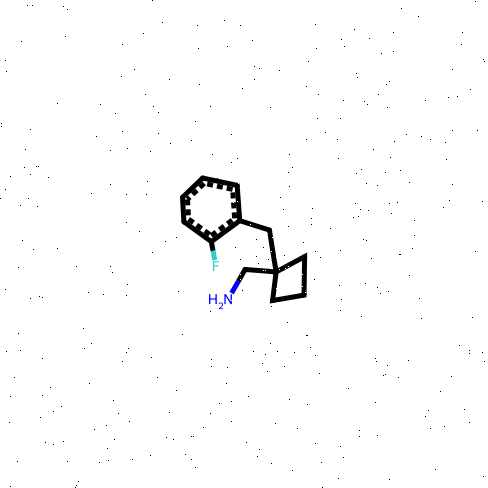 NCC1(Cc2ccccc2F)CCC1